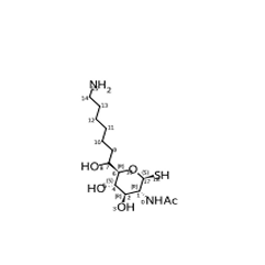 CC(=O)N[C@@H]1[C@@H](O)[C@H](O)[C@@H](C(O)CCCCCCN)O[C@H]1S